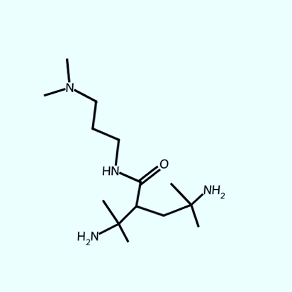 CN(C)CCCNC(=O)C(CC(C)(C)N)C(C)(C)N